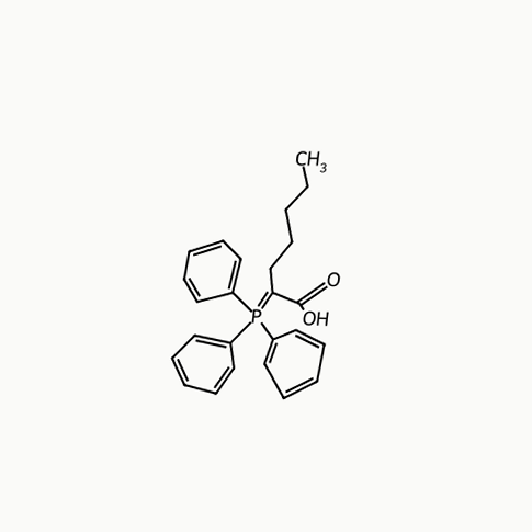 CCCCCC(C(=O)O)=P(c1ccccc1)(c1ccccc1)c1ccccc1